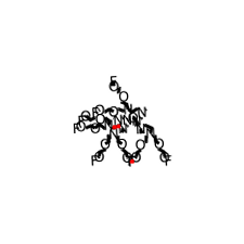 CN(CCN(CCOCCOF)CCOCCOF)CN(CN(C)CCN(CCOCCOF)CCOCCOF)ON(CN(C)CCN(CCOCCOF)CCOCCOF)CN(C)CCN(CCOCCOF)CCOCCOF